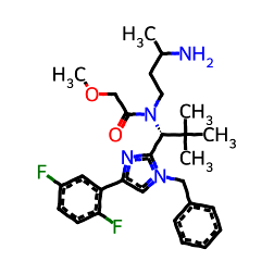 COCC(=O)N(CCC(C)N)[C@@H](c1nc(-c2cc(F)ccc2F)cn1Cc1ccccc1)C(C)(C)C